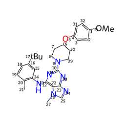 COc1ccc(OC2CCN(c3nc(Nc4cc(C(C)(C)C)ccc4C)c4c(ncn4C)n3)CC2)cc1